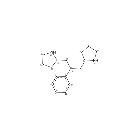 c1ccc(P(CC2CCCN2)CC2CCCN2)cc1